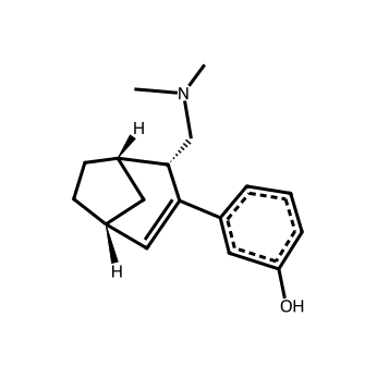 CN(C)C[C@@H]1C(c2cccc(O)c2)=C[C@@H]2CC[C@H]1C2